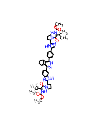 COC(=O)N[C@H](C(=O)N1CCCC1c1ncc(-c2ccc(-c3nnc(-c4ccc5nc(C6CCCN6C(=O)[C@@H](NC(=O)OC)C(C)C)[nH]c5c4)c4c3C3CCC4CC3)cc2)[nH]1)C(C)C